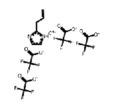 C=CCc1ncc[nH]1.O=C([O-])C(F)(F)F.O=C([O-])C(F)(F)F.O=C([O-])C(F)(F)F.O=C([O-])C(F)(F)F.[C+4]